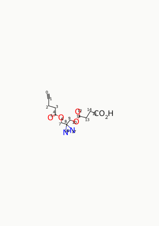 C#CCCC(=O)OCC1(COC(=O)CCC(=O)O)N=N1